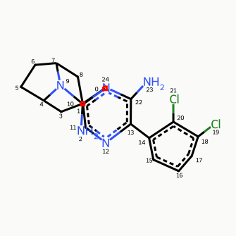 CC1(N)CC2CCC(C1)N2c1cnc(-c2cccc(Cl)c2Cl)c(N)n1